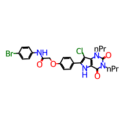 CCCn1c(=O)c2[nH]c(-c3ccc(OCC(=O)Nc4ccc(Br)cc4)cc3)c(Cl)c2n(CCC)c1=O